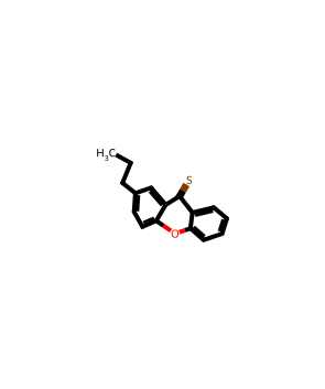 CCCc1ccc2oc3ccccc3c(=S)c2c1